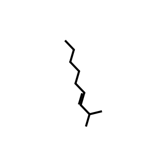 CCCCCC=C[C](C)C